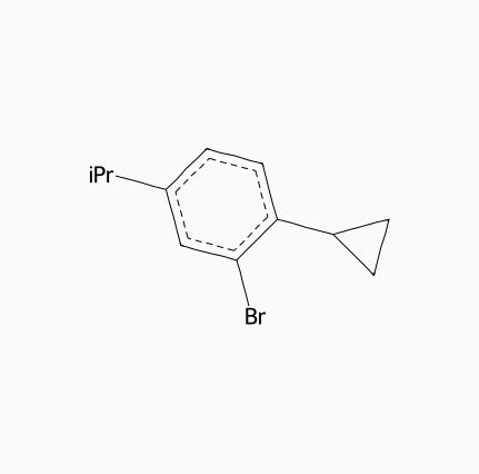 [CH2]C(C)c1ccc(C2CC2)c(Br)c1